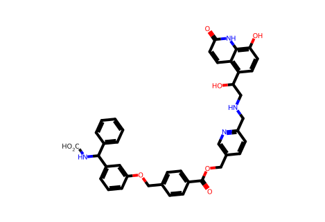 O=C(O)NC(c1ccccc1)c1cccc(OCc2ccc(C(=O)OCc3ccc(CNCC(O)c4ccc(O)c5[nH]c(=O)ccc45)nc3)cc2)c1